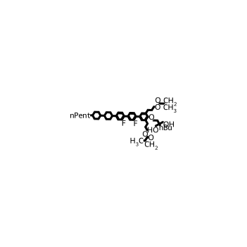 C=C(C)C(=O)OCCCc1cc(-c2ccc(-c3ccc(C4CCC(C5CCC(CCCCC)CC5)CC4)cc3F)cc2F)cc(CCCOC(=O)C(=C)C)c1OCCC(CO)(CO)CCCC